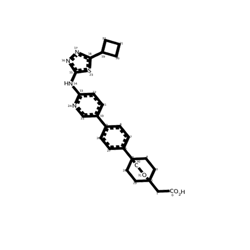 O=C(O)CC12CCC(c3ccc(-c4ccc(Nc5nnc(C6CCC6)s5)nc4)cc3)(CC1)CO2